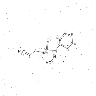 C=CCNC(=O)C(=NO)c1ccccc1